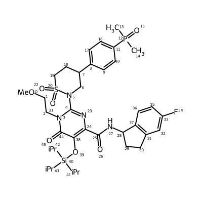 COCCn1c(N2CC(c3ccc(P(C)(C)=O)cc3)CCS2(=O)=O)nc(C(=O)NC2CCc3cc(F)ccc32)c(O[Si](C(C)C)(C(C)C)C(C)C)c1=O